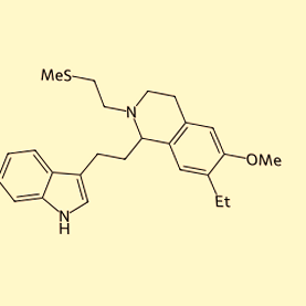 CCc1cc2c(cc1OC)CCN(CCSC)C2CCc1c[nH]c2ccccc12